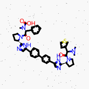 CN(C)C(C(=O)N1CCC[C@H]1c1ncc(-c2ccc(-c3ccc(-c4cnc([C@@H]5CCCN5C(=O)[C@@H](c5ccccc5)N(C)C(=O)O)[nH]4)cc3)cc2)[nH]1)c1ccsc1